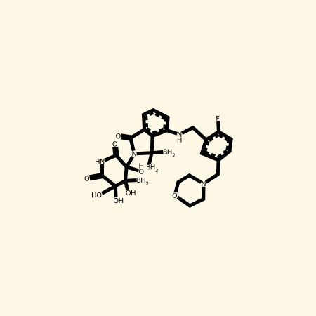 BC1(B)c2c(NCc3cc(CN4CCOCC4)ccc3F)cccc2C(=O)N1C1(O)C(=O)NC(=O)C(O)(O)C1(B)O